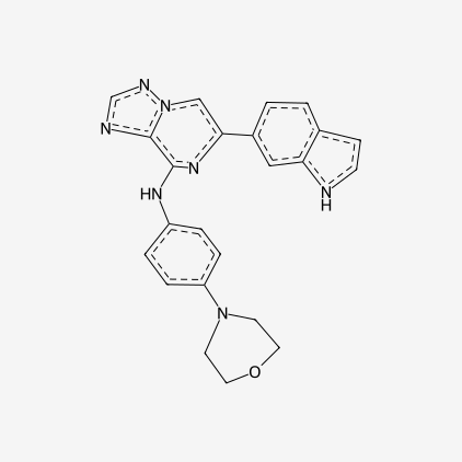 c1nc2c(Nc3ccc(N4CCOCC4)cc3)nc(-c3ccc4cc[nH]c4c3)cn2n1